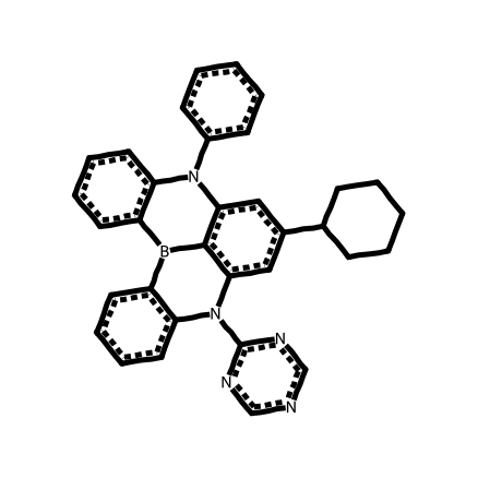 c1ccc(N2c3ccccc3B3c4ccccc4N(c4ncncn4)c4cc(C5CCCCC5)cc2c43)cc1